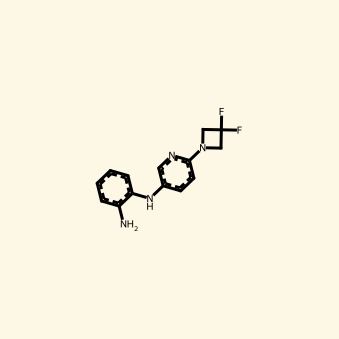 Nc1ccccc1Nc1ccc(N2CC(F)(F)C2)nc1